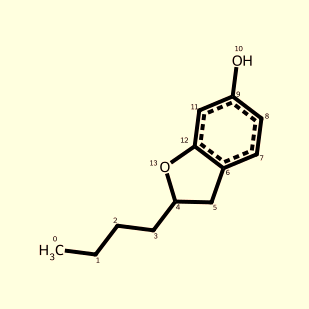 CCCCC1Cc2ccc(O)cc2O1